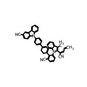 C=C/C=C(/C#N)c1c(C)c2ccccc2n1-c1cccc(C#N)c1C1=CC=C(c2ccc(-n3c4ccccc4c4cc(C#N)ccc43)cc2)CC1